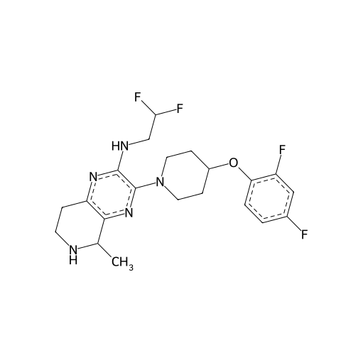 CC1NCCc2nc(NCC(F)F)c(N3CCC(Oc4ccc(F)cc4F)CC3)nc21